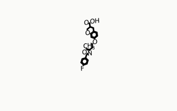 Cc1oc(-c2ccc(F)cc2)nc1CCOc1ccc2c(c1)OCC(C(=O)O)C2